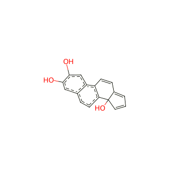 Oc1cc2ccc3c(c2cc1O)C=CC1=CC=CC13O